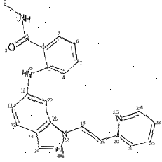 CNC(=O)c1ccccc1Nc1ccc2cnn(C=Cc3ccccn3)c2c1